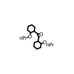 CCCOC1CCCCC1C1OC1C1CCCCC1OCCC